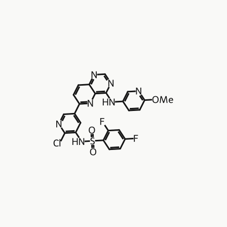 COc1ccc(Nc2ncnc3ccc(-c4cnc(Cl)c(NS(=O)(=O)c5ccc(F)cc5F)c4)nc23)cn1